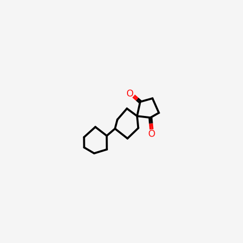 O=C1CCC(=O)C12CCC(C1CCCCC1)CC2